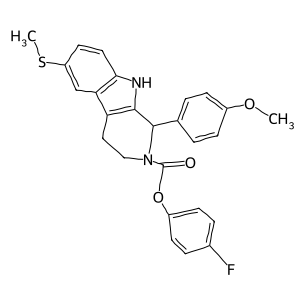 COc1ccc(C2c3[nH]c4ccc(SC)cc4c3CCN2C(=O)Oc2ccc(F)cc2)cc1